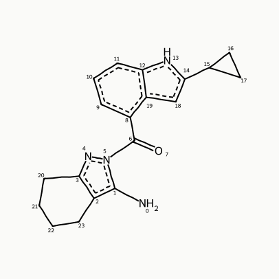 Nc1c2c(nn1C(=O)c1cccc3[nH]c(C4CC4)cc13)CCCC2